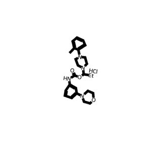 CCC(OC(=O)Nc1cccc(N2CCOCC2)c1)N1CCN(c2ccccc2C)CC1.Cl